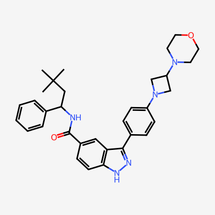 CC(C)(C)CC(NC(=O)c1ccc2[nH]nc(-c3ccc(N4CC(N5CCOCC5)C4)cc3)c2c1)c1ccccc1